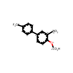 O=C(O)Oc1ccc(-c2ccc(C(F)(F)F)cc2)cc1[N+](=O)[O-]